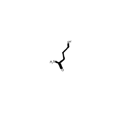 O=C([SiH3])CCCS